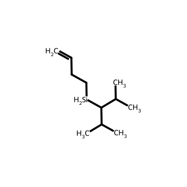 C=CCC[SiH2]C(C(C)C)C(C)C